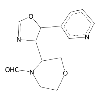 O=CN1CCOCC1C1N=COC1c1cccnc1